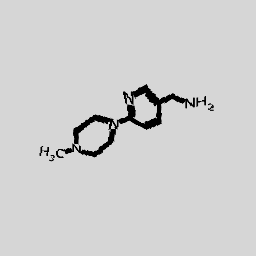 CN1CCN(c2ccc(CN)cn2)CC1